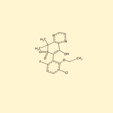 CCOc1c(Cl)ccc(F)c1C1=C(O)c2nccnc2C(C)(C)S1(=O)=O